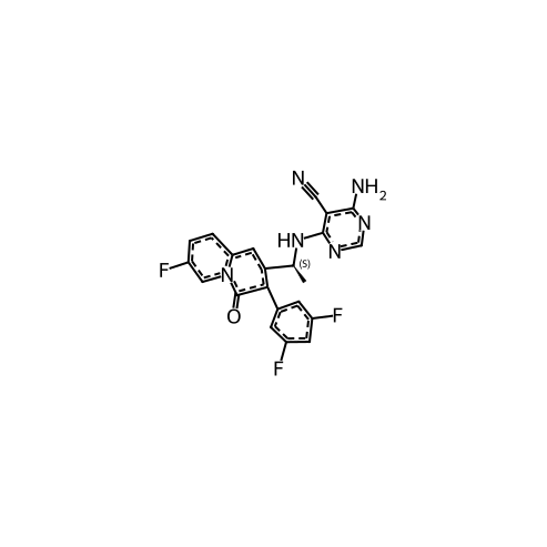 C[C@H](Nc1ncnc(N)c1C#N)c1cc2ccc(F)cn2c(=O)c1-c1cc(F)cc(F)c1